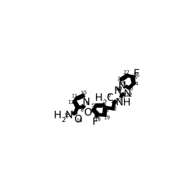 C=C(Cc1ccc(Oc2ncccc2C(N)=O)c(F)c1)Nc1nc2cc(F)ccn2n1